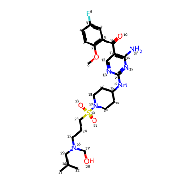 COc1ccc(F)cc1C(=O)c1cnc(NC2CCN(S(=O)(=O)CCCN(CO)CC(C)C)CC2)nc1N